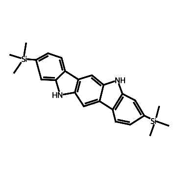 C[Si](C)(C)c1ccc2c(c1)[nH]c1cc3c(cc12)[nH]c1cc([Si](C)(C)C)ccc13